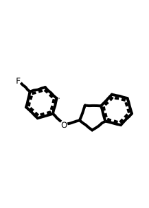 Fc1c[c]c(OC2Cc3ccccc3C2)cc1